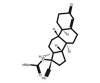 C#C[C@]1(OC(=O)CCCCCCCCC)CC[C@H]2[C@@H]3CCC4=CC(=O)CC[C@@H]4[C@H]3CC[C@@]21C